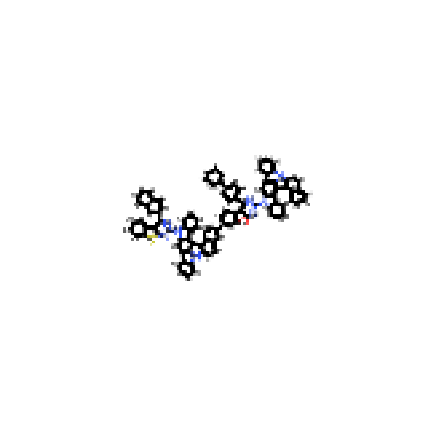 c1ccc(-c2ccc(-c3nc(-n4c5ccccc5c5c6c7c8ccccc8ccc7n7c8ccccc8c(cc54)c67)nc4oc5cc(-c6ccc7c(ccc8c7c7c9c%10ccccc%10n(-c%10nc(-c%11ccc%12ccccc%12c%11)c%11c(n%10)sc%10ccccc%10%11)c9cc9c%10ccccc%10n8c97)c6)ccc5c34)cc2)cc1